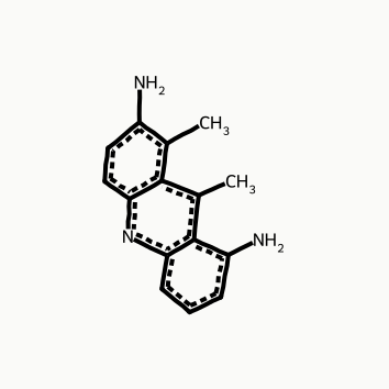 Cc1c(N)ccc2nc3cccc(N)c3c(C)c12